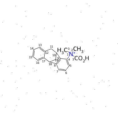 C[N+](C)(C(=O)O)c1cccc2c1C1Cc3ccccc3C2C1